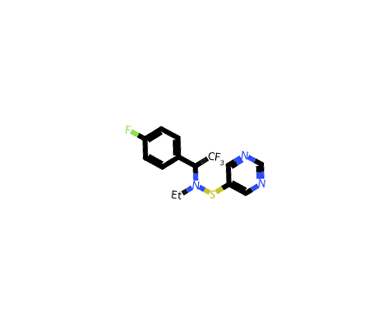 CCN(Sc1cncnc1)C(c1ccc(F)cc1)C(F)(F)F